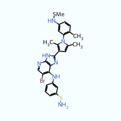 CSNc1ccc(C)c(-n2c(C)cc(-c3nc4c(Nc5cccc(SN)c5)c(Br)cnc4[nH]3)c2C)c1